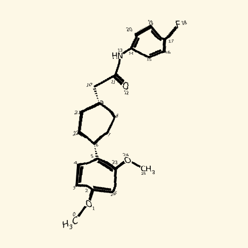 COc1ccc([C@H]2CC[C@@H](CC(=O)Nc3ccc(F)cc3)CC2)c(OC)c1